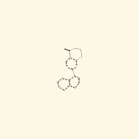 O=C1CCCc2nc(-c3cccc4ccccc34)ncc21